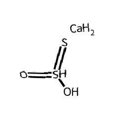 O=[SH](O)=S.[CaH2]